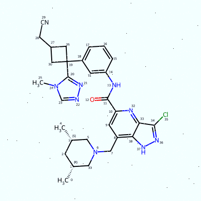 C[C@@H]1C[C@H](C)CN(Cc2cc(C(=O)Nc3cccc(C4(c5nncn5C)CC(CC#N)C4)c3)nc3c(Cl)n[nH]c23)C1